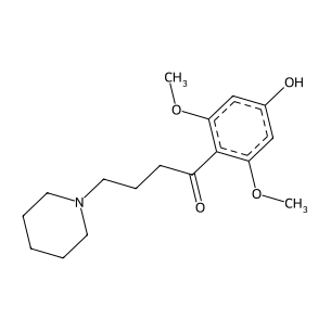 COc1cc(O)cc(OC)c1C(=O)CCCN1CCCCC1